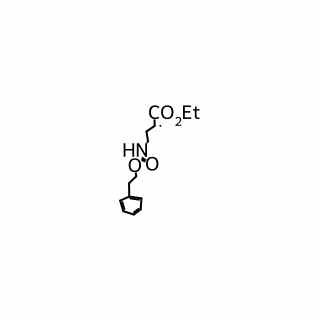 CCOC(=O)[CH]CCNC(=O)OCCc1ccccc1